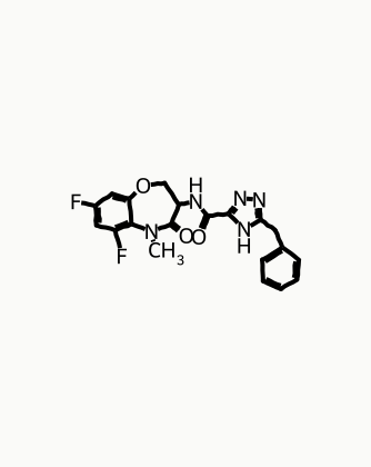 CN1C(=O)C(NC(=O)c2nnc(Cc3ccccc3)[nH]2)COc2cc(F)cc(F)c21